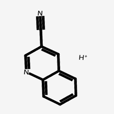 N#Cc1cnc2ccccc2c1.[H+]